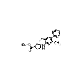 Cc1nc2c(cc1-c1ncccn1)CC[C@@]1(CCN(C(=O)OC(C)(C)C)C1)N2